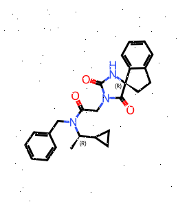 C[C@H](C1CC1)N(Cc1ccccc1)C(=O)CN1C(=O)N[C@@]2(CCc3ccccc32)C1=O